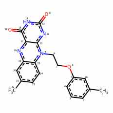 Cc1cccc(OCCn2c3nc(=O)[nH]c(=O)c-3nc3cc(C(F)(F)F)ccc32)c1